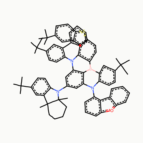 CC(C)(C)c1ccc2c(c1)B1c3ccc4sc5ccc(C(C)(C)C)cc5c4c3N(c3ccc(C(C)(C)C)cc3-c3ccccc3)c3cc(N4c5ccc(C(C)(C)C)cc5C5(C)CCCCC45C)cc(c31)N2c1cccc2oc3ccccc3c12